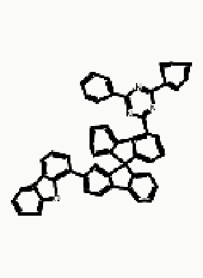 c1ccc(-c2nc(-c3ccccc3)nc(-c3cccc4c3-c3ccccc3C43c4ccccc4-c4ccc(-c5cccc6c5oc5ccccc56)cc43)n2)cc1